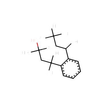 CC(=O)C(C)(C)CC(C)c1ccccc1C(C)(C)CC(C)(O)C(C)=O